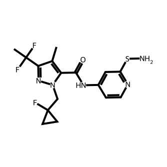 Cc1c(C(C)(F)F)nn(CC2(F)CC2)c1C(=O)Nc1ccnc(SN)c1